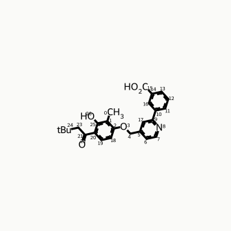 Cc1c(OCc2ccnc(-c3cccc(C(=O)O)c3)c2)ccc(C(=O)CC(C)(C)C)c1O